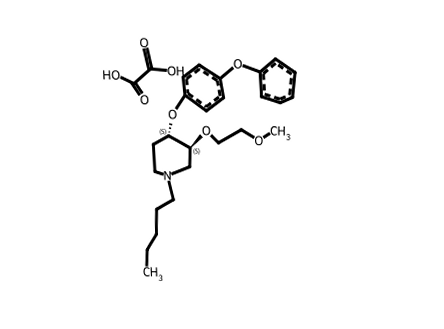 CCCCCN1CC[C@H](Oc2ccc(Oc3ccccc3)cc2)[C@@H](OCCOC)C1.O=C(O)C(=O)O